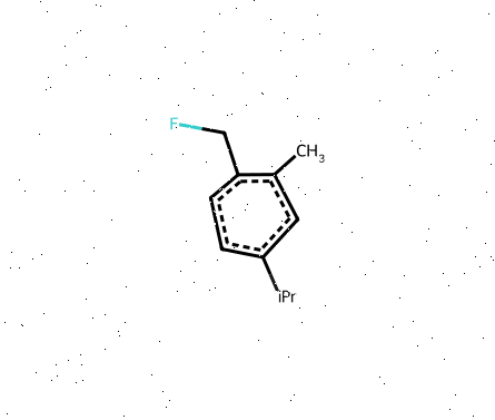 Cc1cc(C(C)C)ccc1CF